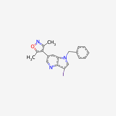 Cc1noc(C)c1-c1cnc2c(I)cn(Cc3ccccc3)c2c1